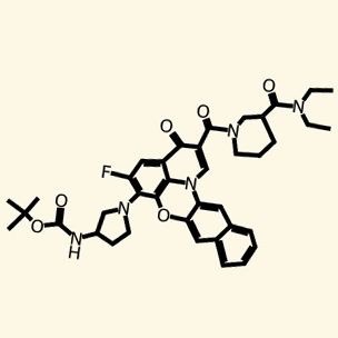 CCN(CC)C(=O)C1CCCN(C(=O)c2cn3c4c(c(N5CCC(NC(=O)OC(C)(C)C)C5)c(F)cc4c2=O)Oc2cc4ccccc4cc2-3)C1